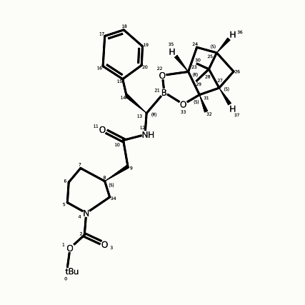 CC(C)(C)OC(=O)N1CCC[C@@H](CC(=O)N[C@@H](Cc2ccccc2)B2O[C@@H]3C[C@@H]4C[C@@H](C4(C)C)[C@]3(C)O2)C1